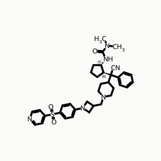 CN(C)C(=O)N[C@H]1CCC[C@@H]1C(C#N)(c1ccccc1)C1CCN(CC2CN(c3ccc(S(=O)(=O)c4ccncc4)cc3)C2)CC1